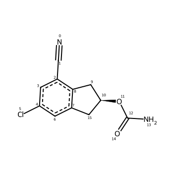 N#Cc1cc(Cl)cc2c1C[C@@H](OC(N)=O)C2